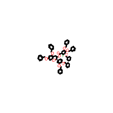 O=C(O[C@@H]1Cc2c(OCc3ccccc3)cc(OCc3ccccc3)cc2O[C@H]1c1ccc(OCc2ccccc2)c(OCc2ccccc2)c1)c1cc(OCc2ccccc2)c(OCc2ccccc2)c(OCc2ccccc2)c1F